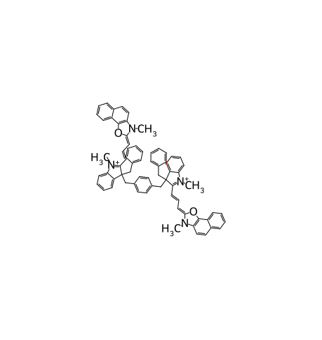 CN1/C(=C/C=C/C2=[N+](C)c3ccccc3C2(Cc2ccccc2)Cc2ccc(CC3(Cc4ccccc4)C(/C=C/C=C4\Oc5c(ccc6ccccc56)N4C)=[N+](C)c4ccccc43)cc2)Oc2c1ccc1ccccc21